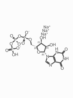 O=c1[nH]c(=O)c2ncn([C@@H]3O[C@H](COP(=O)([O-])OP(=O)([O-])OP(=O)([O-])O)[C@@H](O)[C@H]3O)c2[nH]1.[Na+].[Na+].[Na+]